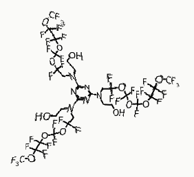 OCCN(CC(F)(F)OC(F)(F)OC(F)(F)OC(F)(F)C(F)(F)OC(F)(F)F)c1nc(N(CCO)CC(F)(F)OC(F)(F)OC(F)(F)C(F)(F)OC(F)(F)F)nc(N(CCO)CC(F)(F)OC(F)(F)OC(F)(F)C(F)(F)OC(F)(F)F)n1